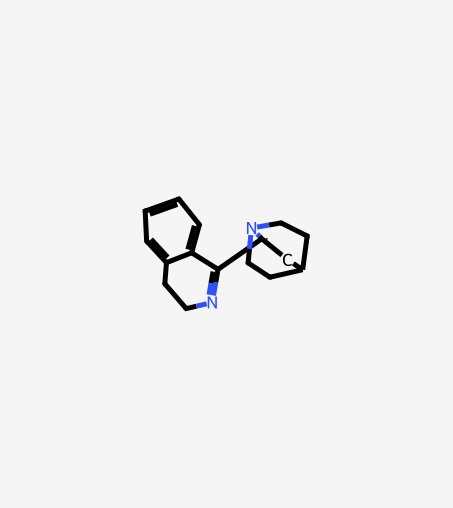 c1ccc2c(c1)CCN=C2[C]1CC2CCN1CC2